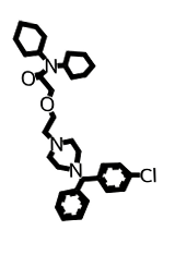 O=C(COCCN1CCN(C(c2ccccc2)c2ccc(Cl)cc2)CC1)N(C1CCCCC1)C1CCCCC1